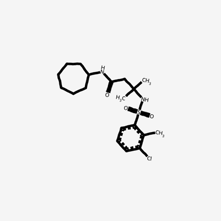 Cc1c(Cl)cccc1S(=O)(=O)NC(C)(C)CC(=O)NC1CCCCCC1